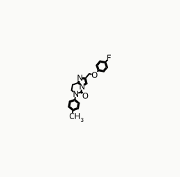 Cc1ccc(N2CCc3nc(COc4ccc(F)cc4)cn3C2=O)cc1